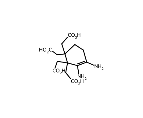 NC1=C(N)C(CC(=O)O)(CC(=O)O)C(CC(=O)O)(CC(=O)O)CC1